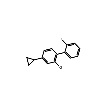 Fc1ccccc1-c1ccc(C2CC2)cc1Cl